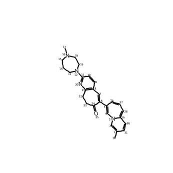 CC1=CN2C=C(C3=Cc4ccc(N5CCCN(C)CC5)nc4CCC3=O)C=CC=C2C=C1